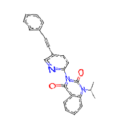 CC(C)n1c(=O)n(-c2ccc(C#Cc3ccccc3)cn2)c(=O)c2ccccc21